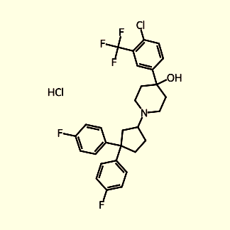 Cl.OC1(c2ccc(Cl)c(C(F)(F)F)c2)CCN(C2CCC(c3ccc(F)cc3)(c3ccc(F)cc3)C2)CC1